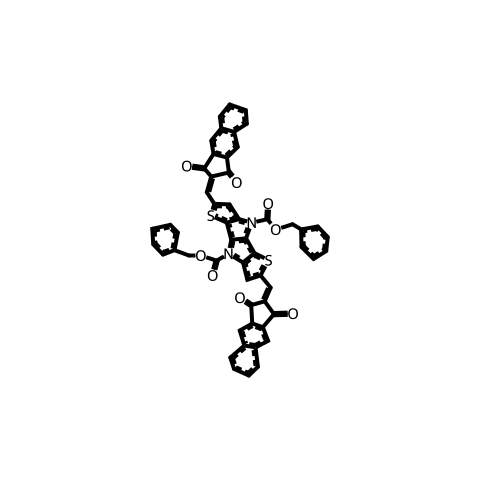 O=C1C(=Cc2cc3c(s2)c2c(c4sc(C=C5C(=O)c6cc7ccccc7cc6C5=O)cc4n2C(=O)OCc2ccccc2)n3C(=O)OCc2ccccc2)C(=O)c2cc3ccccc3cc21